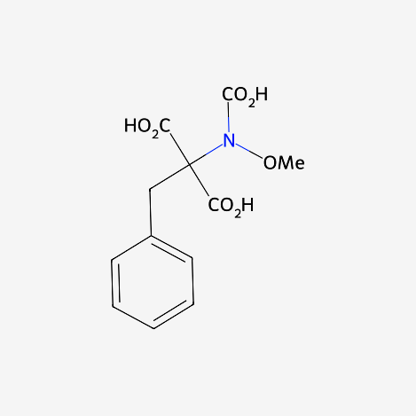 CON(C(=O)O)C(Cc1ccccc1)(C(=O)O)C(=O)O